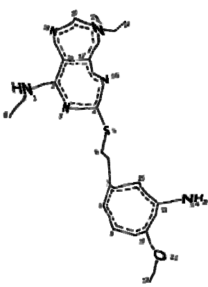 CNc1nc(SCc2ccc(OC)c(N)c2)nc2c1ncn2C